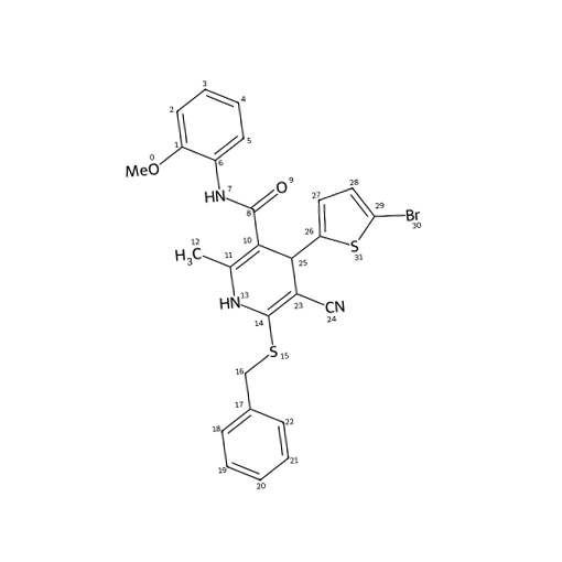 COc1ccccc1NC(=O)C1=C(C)NC(SCc2ccccc2)=C(C#N)C1c1ccc(Br)s1